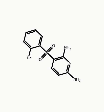 Nc1ccc(S(=O)(=O)c2ccccc2Br)c(N)n1